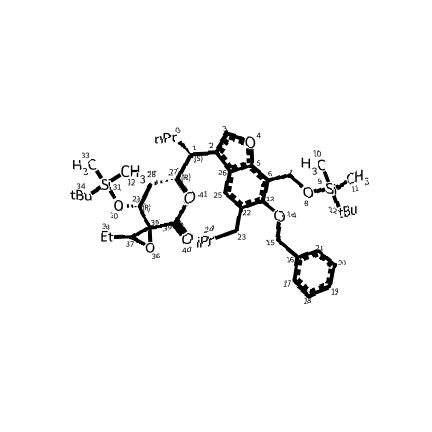 CCC[C@@H](c1coc2c(CO[Si](C)(C)C(C)(C)C)c(OCc3ccccc3)c(CC(C)C)cc12)[C@H]1C[C@@H](O[Si](C)(C)C(C)(C)C)C2(OC2CC)C(=O)O1